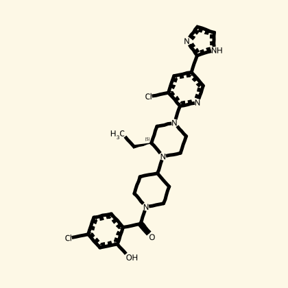 CC[C@H]1CN(c2ncc(-c3ncc[nH]3)cc2Cl)CCN1C1CCN(C(=O)c2ccc(Cl)cc2O)CC1